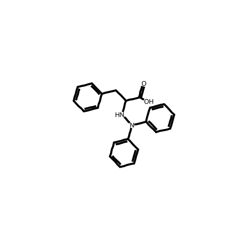 O=C(O)C(Cc1ccccc1)NN(c1ccccc1)c1ccccc1